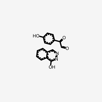 O=CC(=O)c1ccc(O)cc1.Oc1nncc2ccccc12